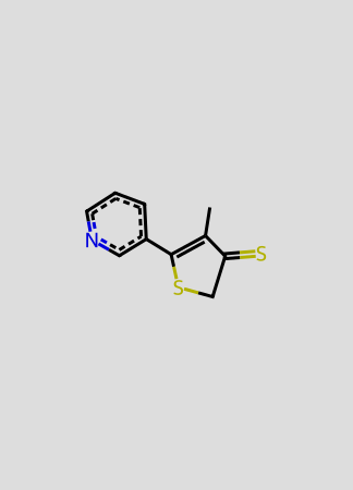 CC1=C(c2cccnc2)SCC1=S